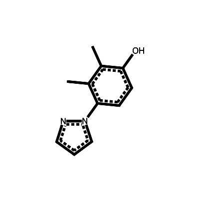 Cc1c(O)ccc(-n2cccn2)c1C